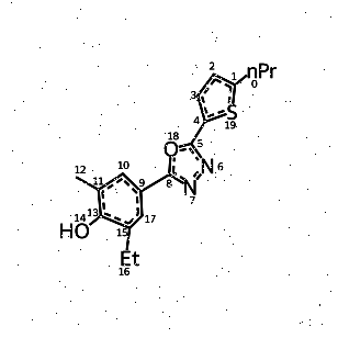 CCCc1ccc(-c2nnc(-c3cc(C)c(O)c(CC)c3)o2)s1